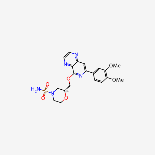 COc1ccc(-c2cc3nccnc3c(OC[C@@H]3CN(S(N)(=O)=O)CCO3)n2)cc1OC